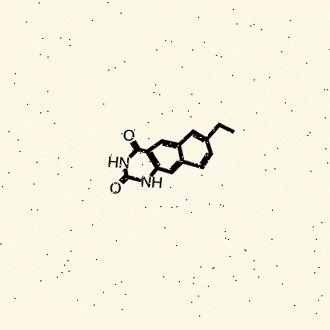 CCc1ccc2cc3[nH]c(=O)[nH]c(=O)c3cc2c1